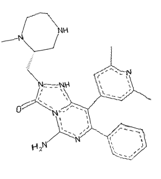 Cc1cc(-c2c(-c3ccccc3)nc(N)[n+]3c(=O)n(C[C@H]4CNCCN4C)[nH]c23)cc(C)n1